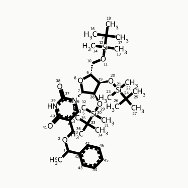 CC(OCc1cn([C@@H]2O[C@H](CO[Si](C)(C)C(C)(C)C)[C@@H](O[Si](C)(C)C(C)(C)C)[C@H]2O[Si](C)(C)C(C)(C)C)c(=O)[nH]c1=O)c1ccccc1